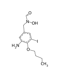 CCCCOc1c(N)cc(CN(O)C=O)cc1I